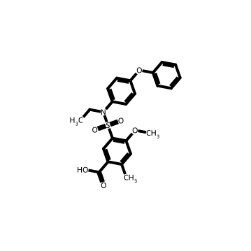 CCN(c1ccc(Oc2ccccc2)cc1)S(=O)(=O)c1cc(C(=O)O)c(C)cc1OC